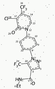 CCNC(=O)c1cnn(-c2ccc(-n3ccc(C(F)(F)F)c(Cl)c3=O)cc2)c1C(F)(F)F